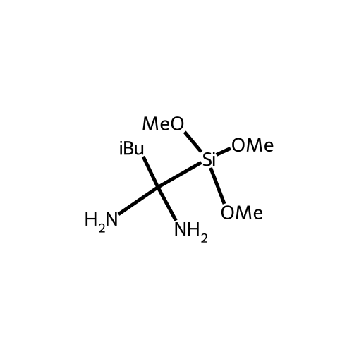 CCC(C)C(N)(N)[Si](OC)(OC)OC